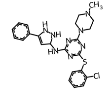 CN1CCN(c2nc(NC3C=C(c4ccccc4)NN3)nc(Sc3ccccc3Cl)n2)CC1